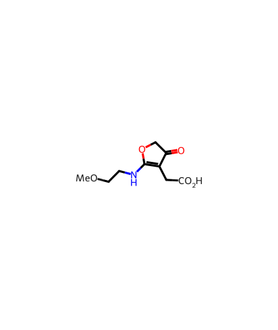 COCCNC1=C(CC(=O)O)C(=O)CO1